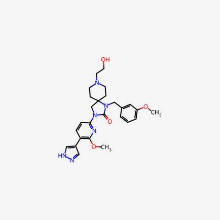 COc1cccc(CN2C(=O)N(c3ccc(-c4cn[nH]c4)c(OC)n3)CC23CCN(CCO)CC3)c1